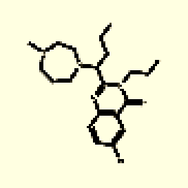 CCCC(c1nc2ccc(Br)cc2c(=O)n1CCC)N1CCCN(C)CC1